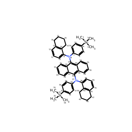 C[Si](C)(C)c1ccc(N(c2cccc3c2CCCC3)c2c3ccccc3c(N(c3ccc([Si](C)(C)C)cc3)c3cccc4c3CCCC4)c3ccccc23)cc1